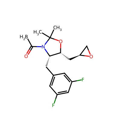 BC(=O)N1[C@@H](Cc2cc(F)cc(F)c2)[C@@H](C[C@H]2CO2)OC1(C)C